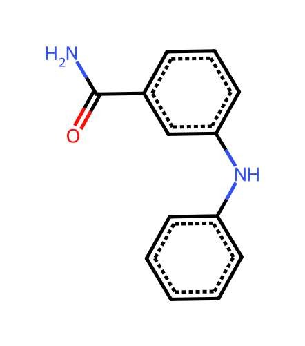 NC(=O)c1cccc(Nc2ccccc2)c1